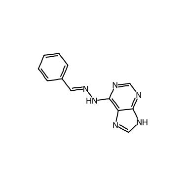 C(=NNc1ncnc2[nH]cnc12)c1ccccc1